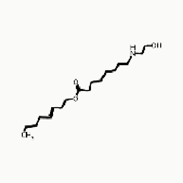 CCCCC=CCCOC(=O)CCCCCCCNCCO